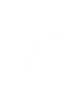 N#CCN(CC#N)CCNCCN1CCN(CCN(CC#N)CC#N)C1=O